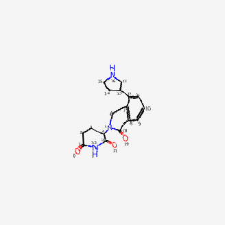 O=C1CCC(N2Cc3c(cccc3C3CCNC3)C2=O)C(=O)N1